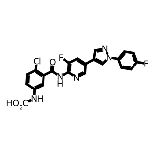 O=C(O)Nc1ccc(Cl)c(C(=O)Nc2ncc(-c3cnn(-c4ccc(F)cc4)c3)cc2F)c1